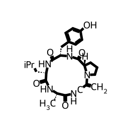 C=C1CNC(=O)[C@H](C)NC(=O)[C@H](CC(C)C)NC(=O)[C@H](Cc2ccc(O)cc2)NC(=O)[C@@H]2CCCN12